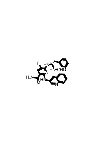 NC(=O)c1cc(F)c(N[C@H](Cc2ccccc2)NC=O)nc1Nc1cnc2ccccc2c1